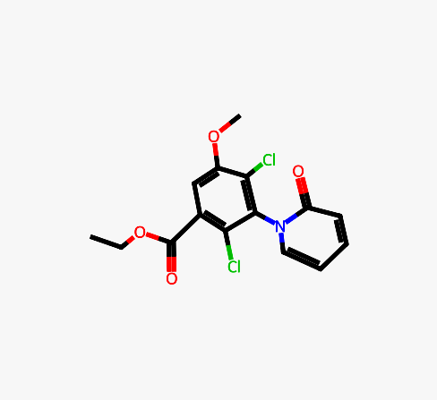 CCOC(=O)c1cc(OC)c(Cl)c(-n2ccccc2=O)c1Cl